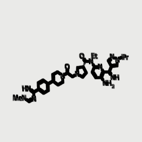 CCN(C(=O)[C@@H]1CCN(CC(=O)N2CC=C(c3ccc(C(=N)/N=C\NC)cc3)CC2)C1)c1ccc(N)c(C(=N)c2cnn(C(C)C)c2)n1